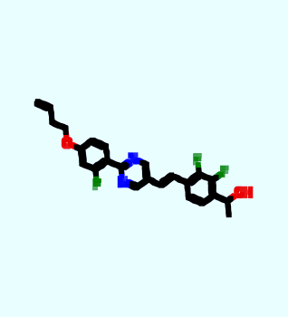 C=CCCOc1ccc(-c2ncc(/C=C/c3ccc(C(C)O)c(F)c3F)cn2)c(F)c1